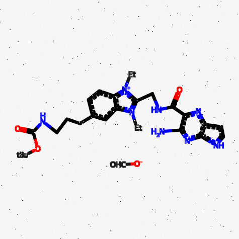 CCn1c(CNC(=O)c2nc3cc[nH]c3nc2N)[n+](CC)c2ccc(CCCNC(=O)OC(C)(C)C)cc21.O=C[O-]